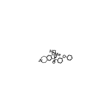 COc1cc2c(cc1S(=O)(=O)c1cccc(Oc3ccccc3)c1)CCN(C)CC2.Cl